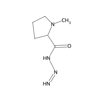 CN1CCCC1C(=O)NN=N